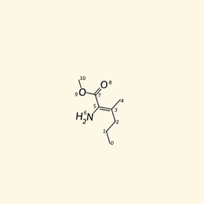 CCCC(C)=C(N)C(=O)OC